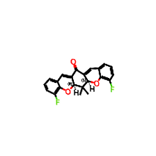 CC1(C)[C@@H]2Oc3c(F)cccc3C=C2C(=O)C2=Cc3cccc(F)c3O[C@@H]21